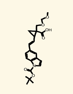 COCOCC1(C(=O)O)CC1C=Cc1ccc2c(ccn2C(=O)OC(C)(C)C)c1